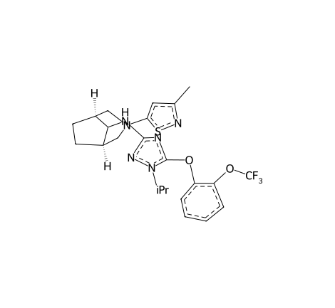 Cc1cc(N2C[C@H]3CC[C@@H](C2)C3Nc2nc(Oc3ccccc3OC(F)(F)F)n(C(C)C)n2)sn1